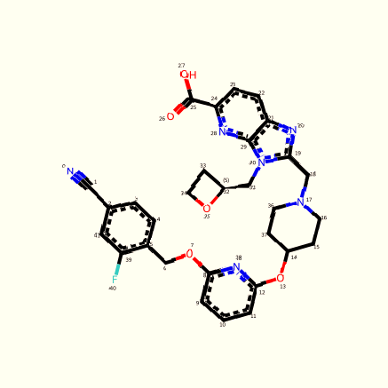 N#Cc1ccc(COc2cccc(OC3CCN(Cc4nc5ccc(C(=O)O)nc5n4C[C@@H]4CCO4)CC3)n2)c(F)c1